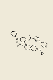 F/C(=C\c1ccc(Oc2ccccc2)c(C(F)(F)F)c1N1CCCC2(CCN(CC3CC3)CC2)C1)c1ccn(-c2ccnnc2)n1